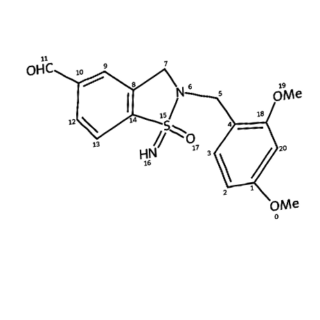 COc1ccc(CN2Cc3cc(C=O)ccc3S2(=N)=O)c(OC)c1